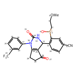 COCC[S+]([O-])c1cc(C#N)ccc1C1NC(=O)N(c2cccc(C(F)(F)F)c2)C2=C1C(=O)CC2